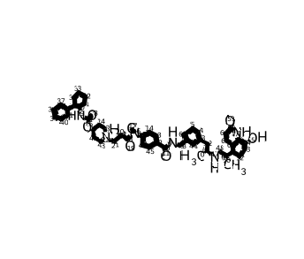 C[C@@H](Cc1cccc(CNC(=O)c2ccc(N(C)C(=O)CCN3CCC(OC(=O)Nc4ccccc4-c4ccccc4)CC3)cc2)c1)NC[C@H](C)c1ccc(O)c2[nH]c(=O)ccc12